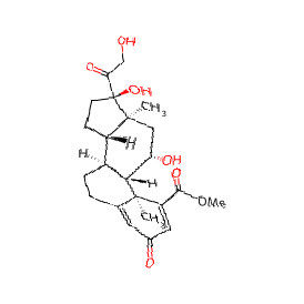 COC(=O)C1=CC(=O)C=C2CC[C@@H]3[C@H]([C@@H](O)C[C@@]4(C)[C@H]3CC[C@]4(O)C(=O)CO)[C@]21C